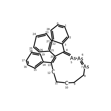 c1ccc(C2=[As]\[As]=[As]/CCCCC/C(c3ccccc3)=C\2c2ccccc2)cc1